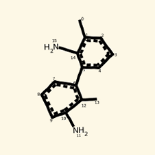 Cc1cccc(-c2[c]ccc(N)c2C)c1N